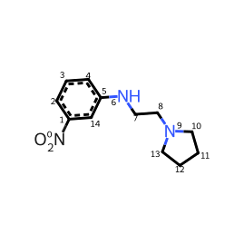 O=[N+]([O-])c1cccc(NCCN2CCCC2)c1